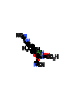 Cc1c(COc2cc(OCc3cncc(C#N)c3)c(CNC[C@@H](O)CC(=O)O)cc2Cl)cccc1-c1cccc(-c2ccc(CNCc3cncc(C#N)c3)cc2)c1C